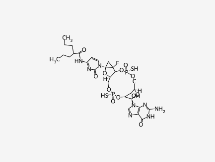 CCCC(CCC)C(=O)Nc1ccn([C@]23CC2(F)C2O[P@](=O)(S)OC[C@H]4O[C@@H](n5cnc6c(=O)[nH]c(N)nc65)C(O[P@](=O)(S)OC[C@H]2O3)C4O)c(=O)n1